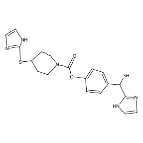 O=C(Oc1ccc(C(S)c2ncc[nH]2)cc1)N1CCC(Sc2ncc[nH]2)CC1